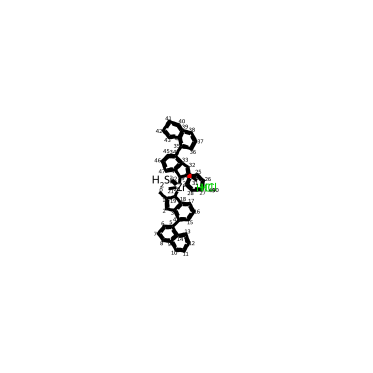 CC1=Cc2c(-c3cccc4ccccc34)cccc2[CH]1[Zr]([CH3])(=[SiH2])([c]1ccccc1)[CH]1C(C)=Cc2c(-c3cccc4ccccc34)cccc21.Cl.Cl